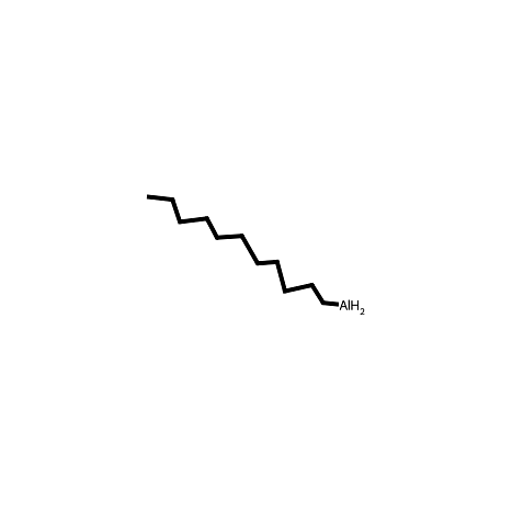 CCCCCCCCCC[CH2][AlH2]